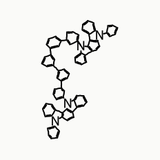 c1ccc(-n2c3ccccc3c3c2ccc2c4ccccc4n(-c4cccc(-c5cccc(-c6cccc(-c7cccc(-c8cccc(-n9c%10ccccc%10c%10ccc%11c(c%12ccccc%12n%11-c%11ccccc%11)c%109)c8)c7)c6)c5)c4)c23)cc1